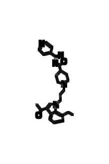 CCc1cccc2c(C(C)=O)cn(CCCN3CCC(c4nc(-c5ccncc5)no4)CC3)c12